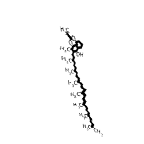 CCC(=O)Oc1c(C)c(C/C=C(\C)CC/C=C(\C)CC/C=C(\C)CC/C=C(\C)CC/C=C(\C)CC/C=C(\C)CCC=C(C)C)c(O)c2ccccc12